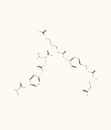 BC(=O)CCN(C)C(=O)OCc1ccc(NC(=O)[C@H](CCCNC(N)=O)NC(=O)[C@@H](NC(=S)Nc2ccc(NC(=S)C(C)CC)cc2)C(C)C)cc1